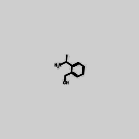 CC(N)c1ccccc1CO